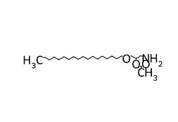 CCCCCCCCCCCCCCCCCCOCC(CN)OC(C)=O